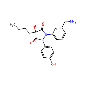 CCCCC1(O)C(=O)N(c2ccc(O)cc2)N(c2cccc(CN)c2)C1=O